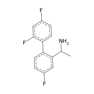 CC(N)c1cc(F)ccc1-c1ccc(F)cc1F